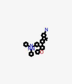 CC1(C)c2cc(C#N)ccc2-c2ccc(-c3ccc4oc5ccccc5c4c3-c3cccc(-c4nc(-c5ccccc5)nc(-c5ccccc5)n4)c3)cc21